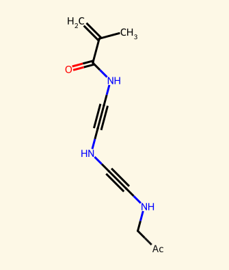 C=C(C)C(=O)NC#CNC#CNCC(C)=O